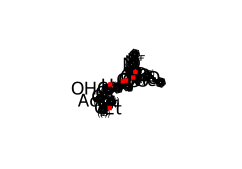 CCC1O[C@@H](OC2[C@H](O[C@H]3CCC4(C)C5CC=C6C7CC(C)(C)CC[C@]7(C(=O)OC7([C@@H]8OC(C)[C@H](O[C@@H]9OC[C@@H](C)C(OCc%10ccccc%10)C9C)C9OC(C)(C)OC98)OC8C(C)[C@@H](N=[N+]=[N-])C(COCc9ccccc9)O[C@H]87)C(OC)C[C@@]6(C)[C@@]5(C)CC[C@H]4[C@@]3(C)C=O)OC(C(C)=O)[C@@H](C)[C@@H]2O[C@@H]2OC[C@@H](C)[C@H](C)C2C)C(C)[C@@H](C)[C@H]1C